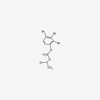 CC(Cl)O[SiH2]Oc1ccc(Br)c(Br)c1Br